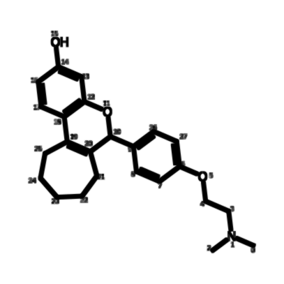 CN(C)CCOc1ccc(C2Oc3cc(O)ccc3C3=C2CCCCC3)cc1